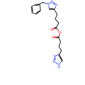 O=C(CCCc1c[nH]nn1)OC(=O)CCCc1cn(Cc2ccccc2)nn1